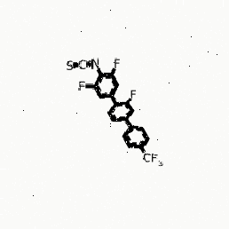 Fc1cc(-c2ccc(C(F)(F)F)cc2)ccc1-c1cc(F)c(N=C=S)c(F)c1